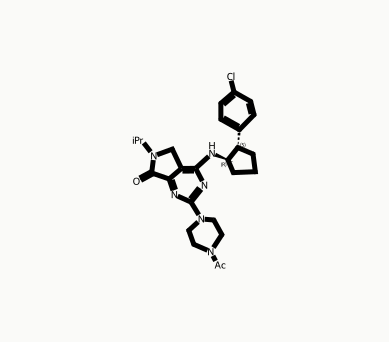 CC(=O)N1CCN(c2nc(N[C@@H]3CCC[C@H]3c3ccc(Cl)cc3)c3c(n2)C(=O)N(C(C)C)C3)CC1